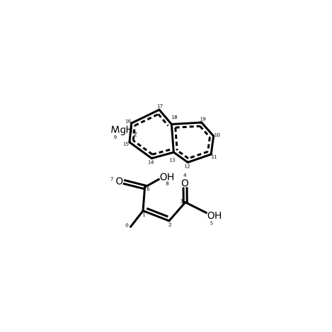 CC(=CC(=O)O)C(=O)O.[MgH2].c1ccc2ccccc2c1